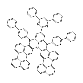 c1ccc(-c2ccc(N3c4cc(-c5nc(-c6ccccc6)cc(-c6ccccc6)n5)cc5c4B(c4cc6c7cccc8cccc(c9cccc(c43)c96)c87)c3cc4c6cccc7cccc(c8cccc(c3N5c3ccc(-c5ccccc5)cc3)c84)c76)cc2)cc1